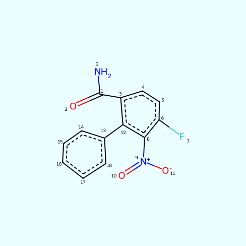 NC(=O)c1ccc(F)c([N+](=O)[O-])c1-c1ccccc1